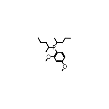 CCCC(C)P(c1ccc(OC)cc1OC)C(C)CCC